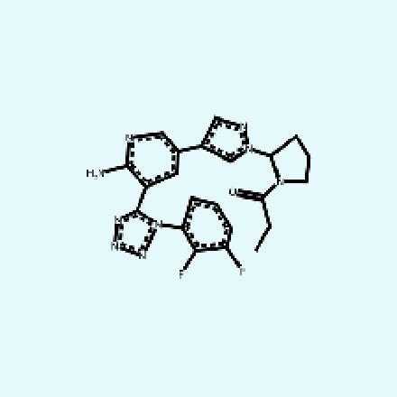 CCC(=O)N1CCCC1n1cc(-c2cnc(N)c(-c3nnnn3-c3cccc(F)c3F)c2)cn1